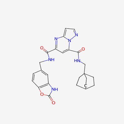 O=C(NCc1ccc2oc(=O)[nH]c2c1)c1cc(C(=O)NCC23CCC(CC2)CC3)n2nccc2n1